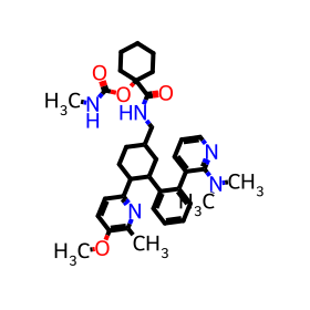 CNC(=O)OC1(C(=O)NCC2CCC(c3ccc(OC)c(C)n3)C(c3ccccc3-c3cccnc3N(C)C)C2)CCCCC1